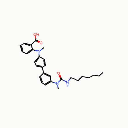 CCCCCCCNC(=O)N(C)c1cccc(-c2ccc(N(C)c3ccccc3C(=O)O)cc2)c1